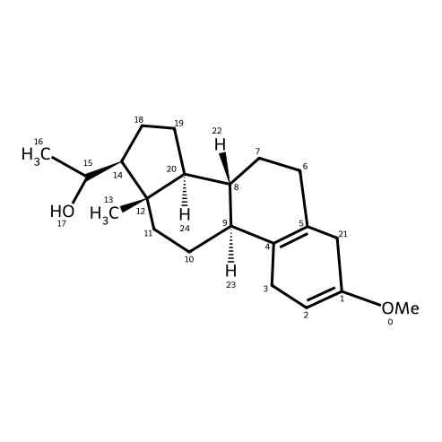 COC1=CCC2=C(CC[C@@H]3[C@@H]2CC[C@]2(C)[C@@H](C(C)O)CC[C@@H]32)C1